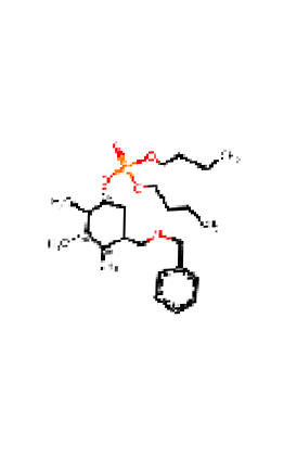 CCCCOP(=O)(OCCCC)O[C@@H]1CC(COCc2ccccc2)[C@@H](C)[C@H](C)C1C